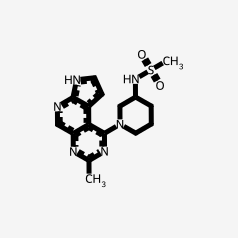 Cc1nc(N2CCCC(NS(C)(=O)=O)C2)c2c(cnc3[nH]ccc32)n1